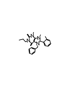 C=C1C2=C(N(C)C(=C)N1CCC)N(C)C(c1ccccc1C)N2Cc1ccccc1